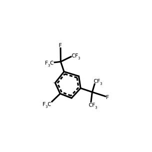 FC(F)(F)c1[c]c(C(F)(C(F)(F)F)C(F)(F)F)cc(C(F)(C(F)(F)F)C(F)(F)F)c1